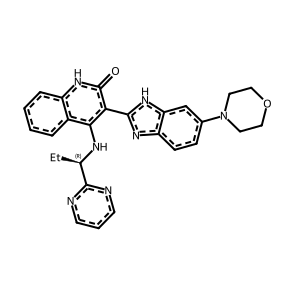 CC[C@@H](Nc1c(-c2nc3ccc(N4CCOCC4)cc3[nH]2)c(=O)[nH]c2ccccc12)c1ncccn1